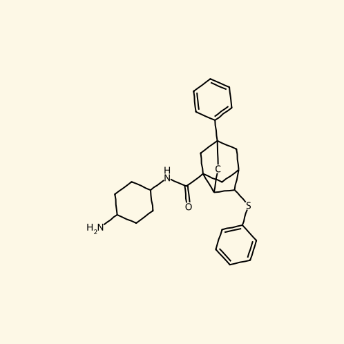 NC1CCC(NC(=O)C23CC4CC(c5ccccc5)(CC2C4Sc2ccccc2)C3)CC1